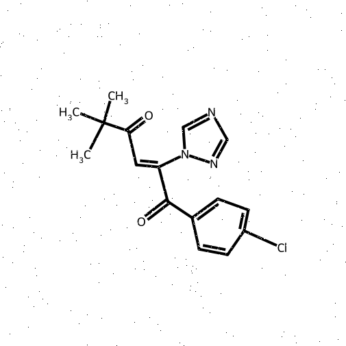 CC(C)(C)C(=O)C=C(C(=O)c1ccc(Cl)cc1)n1cncn1